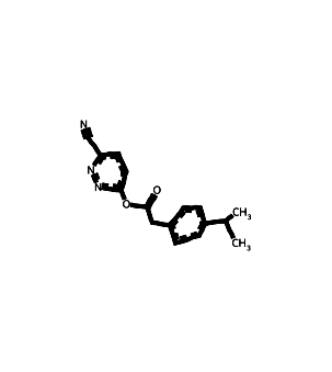 CC(C)c1ccc(CC(=O)Oc2ccc(C#N)nn2)cc1